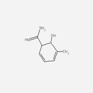 CC1=CC=CC(C(=N)N)N1O